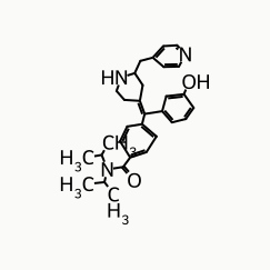 CC(C)N(C(=O)c1ccc(/C(=C2\CCNC(Cc3ccncc3)C2)c2cccc(O)c2)cc1)C(C)C